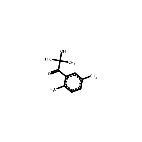 Cc1ccc(C)c(C(=O)C(C)(C)O)c1